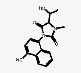 CC(O)C1C(=O)N(c2ccc(C#N)c3ccccc23)C(=O)N1C